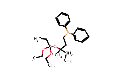 CCO[Si](CC)(OCC)OC(C)(CCP(c1ccccc1)c1ccccc1)[SiH2]C